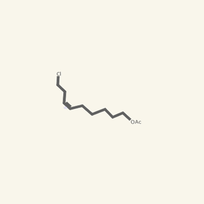 CC(=O)OCCCCC/C=C\CCCl